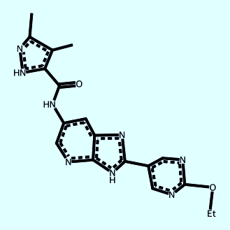 CCOc1ncc(-c2nc3cc(NC(=O)c4[nH]nc(C)c4C)cnc3[nH]2)cn1